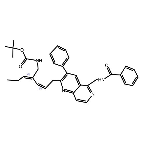 CC/C=C(\C=C/Cc1nc2ccnc(CNC(=O)c3ccccc3)c2cc1-c1ccccc1)CNC(=O)OC(C)(C)C